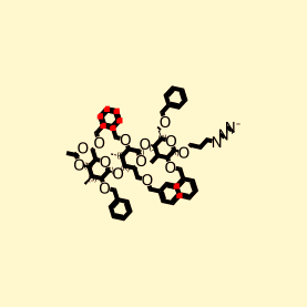 CC(=O)O[C@H]1C(COCc2ccccc2)O[C@H](O[C@H]2C(COCc3ccccc3)O[C@@H](O[C@H]3C(C)C(OCc4ccccc4)[C@H](OCCCN=[N+]=[N-])O[C@H]3COCc3ccccc3)C(OCc3ccccc3)[C@H]2C)C(OCc2ccccc2)[C@H]1C